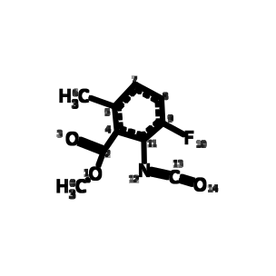 COC(=O)c1c(C)ccc(F)c1N=C=O